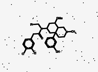 COC1CC(N(CC(C)C)C(=O)Cc2ccc(Cl)c(Cl)c2)CC2(c3cccc(O)c3)CCN(C)CC12